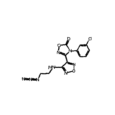 [N-]=[N+]=NCCNc1nonc1-c1noc(=O)n1-c1cccc(Cl)c1